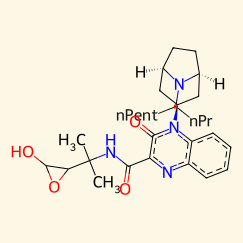 CCCCCC(CCC)N1[C@@H]2CC[C@H]1C[C@@H](n1c(=O)c(C(=O)NC(C)(C)C3OC3O)nc3ccccc31)C2